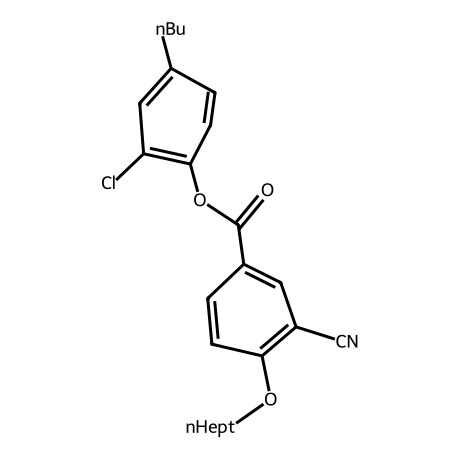 CCCCCCCOc1ccc(C(=O)Oc2ccc(CCCC)cc2Cl)cc1C#N